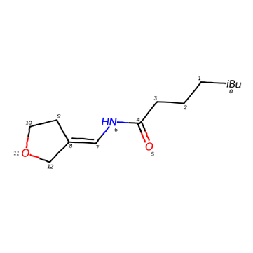 CCC(C)CCCC(=O)N/C=C1\CCOC1